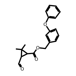 CC1(C)C(C=O)C1C(=O)OCc1cccc(Oc2ccccc2)c1